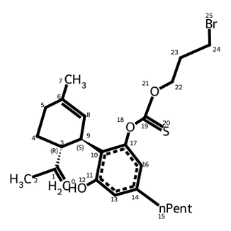 C=C(C)[C@@H]1CCC(C)=C[C@H]1c1c(O)cc(CCCCC)cc1OC(=S)OCCCBr